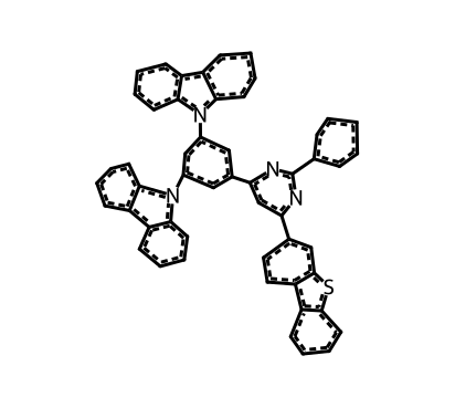 c1ccc(-c2nc(-c3cc(-n4c5ccccc5c5ccccc54)cc(-n4c5ccccc5c5ccccc54)c3)cc(-c3ccc4c(c3)sc3ccccc34)n2)cc1